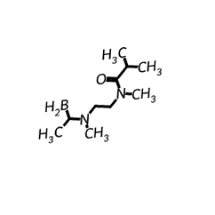 BC(C)N(C)CCN(C)C(=O)C(C)C